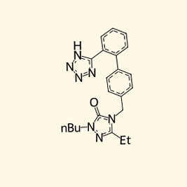 CCCCn1nc(CC)n(Cc2ccc(-c3ccccc3-c3nnn[nH]3)cc2)c1=O